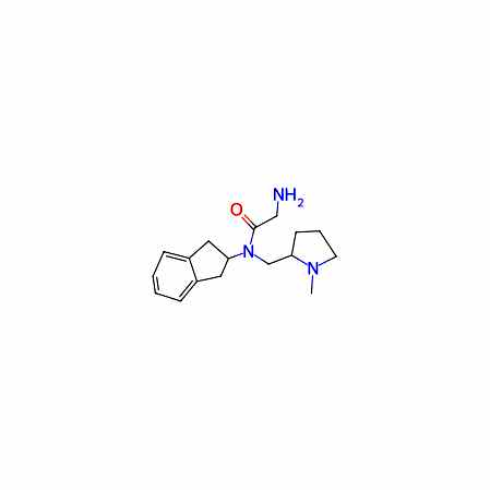 CN1CCCC1CN(C(=O)CN)C1Cc2ccccc2C1